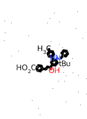 Cc1ccc(-c2cc(C(O)/C=C/c3ccc(C(=O)O)cc3)cc(C(C)(C)C)c2NCc2ccccc2)cc1